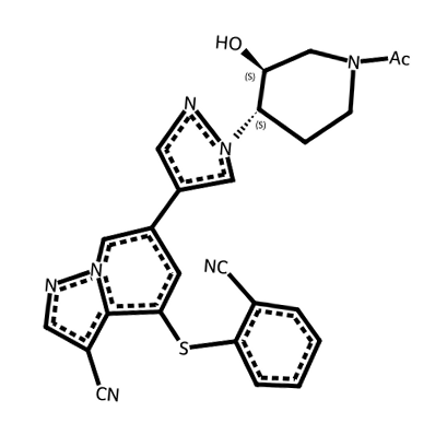 CC(=O)N1CC[C@H](n2cc(-c3cc(Sc4ccccc4C#N)c4c(C#N)cnn4c3)cn2)[C@@H](O)C1